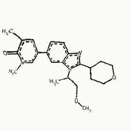 COCC(C)n1c(C2CCOCC2)nc2ccc(-c3cc(C)c(=O)n(C)c3)cc21